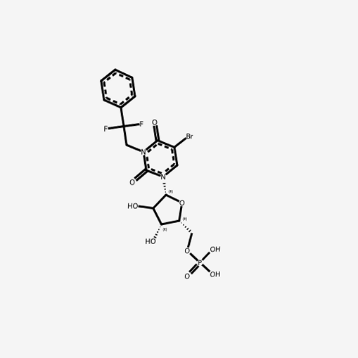 O=c1c(Br)cn([C@@H]2O[C@H](COP(=O)(O)O)[C@H](O)C2O)c(=O)n1CC(F)(F)c1ccccc1